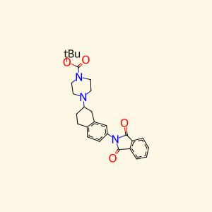 CC(C)(C)OC(=O)N1CCN(C2CCc3ccc(N4C(=O)c5ccccc5C4=O)cc3C2)CC1